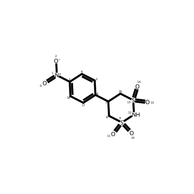 O=[N+]([O-])c1ccc(C2CS(=O)(=O)NS(=O)(=O)C2)cc1